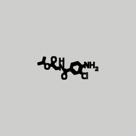 CC(C)OC(=O)CNC(=O)c1ccc(N)c(Cl)c1